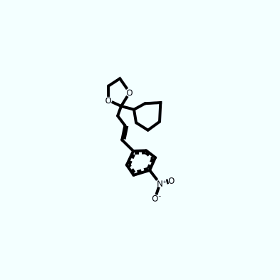 O=[N+]([O-])c1ccc(/C=C/CC2(C3CCCCC3)OCCO2)cc1